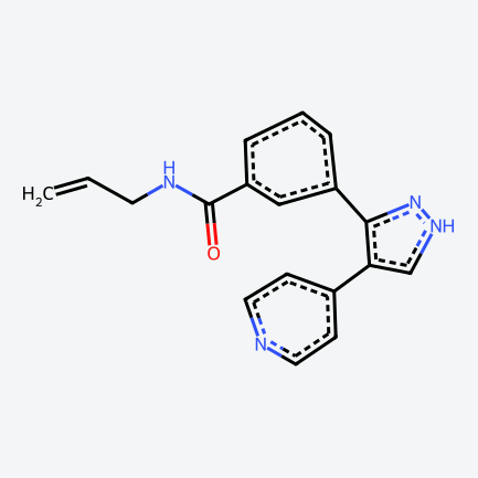 C=CCNC(=O)c1cccc(-c2n[nH]cc2-c2ccncc2)c1